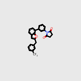 O=C1CCC(=O)N1c1cccc(-c2cccc3cc(Cc4cccc(C(F)(F)F)c4)oc23)c1